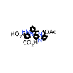 CC(=O)OC(C)c1cccc2nc3c(C(=O)O)cc4c(c3nc12)C(C)c1cccc2c1N4c1cccc(C(=O)O)c1N2